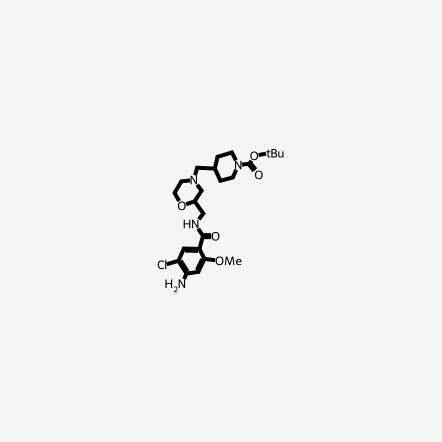 COc1cc(N)c(Cl)cc1C(=O)NCC1CN(CC2CCN(C(=O)OC(C)(C)C)CC2)CCO1